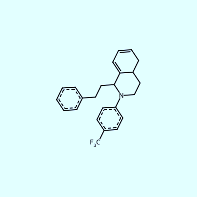 FC(F)(F)c1ccc(N2CCC3CC=CC=C3C2CCc2ccccc2)cc1